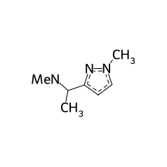 [CH2-][NH2+]C(C)c1ccn(C)n1